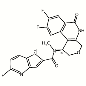 CN(C(=O)c1cc2nc(F)ccc2[nH]1)[C@@H]1COCc2[nH]c(=O)c3cc(F)c(F)cc3c21